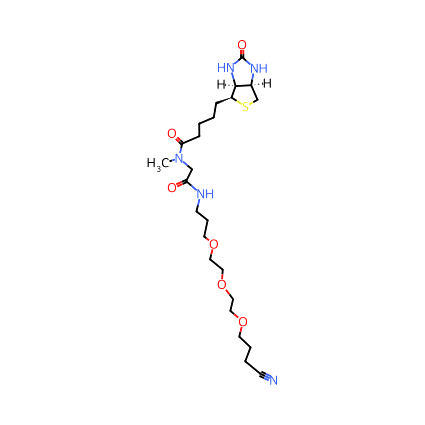 CN(CC(=O)NCCCOCCOCCOCCCC#N)C(=O)CCCC[C@@H]1SC[C@@H]2NC(=O)N[C@@H]21